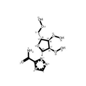 NC(=O)c1ncnn1[C@@H]1O[C@H](COO)[C@@H](OO)[C@H]1OO